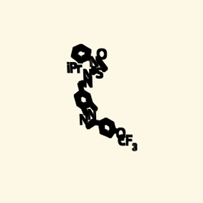 CC(C)c1ccccc1N1C(=O)CSC1=NN=Cc1ccc2c(c1)Cn1c(-c3ccc(OC(F)(F)F)cc3)cnc1-2